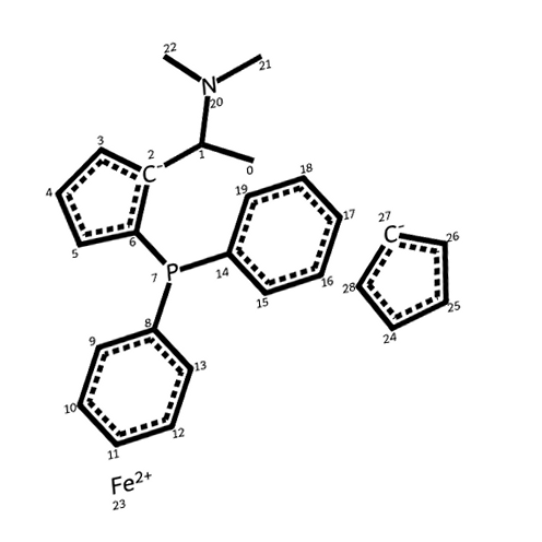 CC([c-]1cccc1P(c1ccccc1)c1ccccc1)N(C)C.[Fe+2].c1cc[cH-]c1